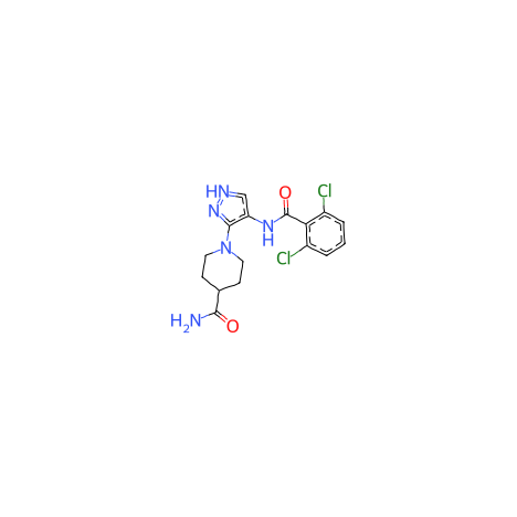 NC(=O)C1CCN(c2n[nH]cc2NC(=O)c2c(Cl)cccc2Cl)CC1